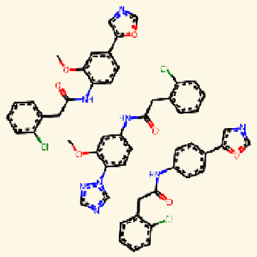 COc1cc(-c2cnco2)ccc1NC(=O)Cc1ccccc1Cl.COc1cc(NC(=O)Cc2ccccc2Cl)ccc1-n1cncn1.O=C(Cc1ccccc1Cl)Nc1ccc(-c2cnco2)cc1